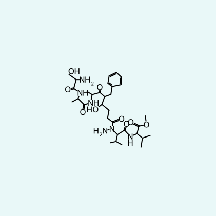 COC(=O)C(NC(=O)C(C(C)C)N(N)C(=O)CCC(O)C(Cc1ccccc1)C(=O)C(C)NC(=O)C(C)NC(=O)C(N)CO)C(C)C